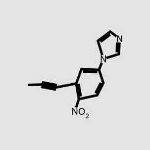 CC#Cc1cc(-n2ccnc2)ccc1[N+](=O)[O-]